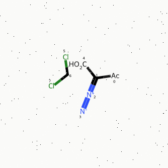 CC(=O)C(=[N+]=[N-])C(=O)O.ClCCl